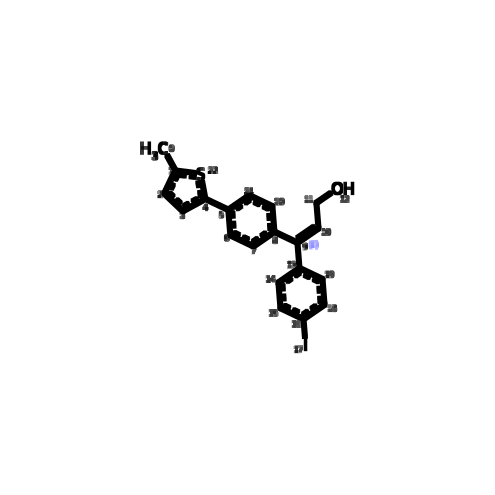 Cc1ccc(-c2ccc(/C(=C\CO)c3ccc(I)cc3)cc2)s1